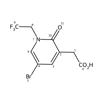 O=C(O)Cc1cc(Br)cn(CC(F)(F)F)c1=O